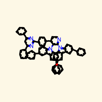 c1ccc(-c2ccc3c(c2)c2cc(-c4ccccc4)ccc2n3-c2nccc(-c3ccc(-c4nc(-c5ccccc5)cc(-c5ccccc5)n4)cc3)c2-n2c3ccc(-c4ccccc4)cc3c3cc(-c4ccccc4)ccc32)cc1